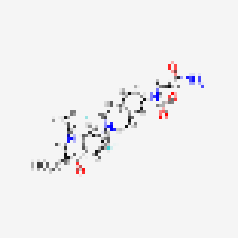 NC(=O)[C@H]1CN(c2ccc3c(c2)CCN(c2c(F)cc4c(=O)c(C(=O)O)cn(C5CC5)c4c2F)CC3)C(=O)O1